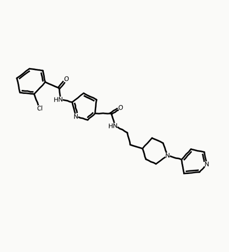 O=C(NCCC1CCN(c2ccncc2)CC1)c1ccc(NC(=O)c2ccccc2Cl)nc1